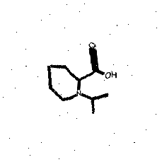 CC(C)N1CCCCC1C(=O)O